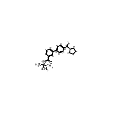 CC(C)(C)NC(=O)c1cccc(-c2ccc(C(=O)N3CCCC3)cc2)c1